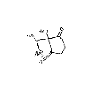 CCCCC(N)C1(O)C(=O)CCC1=O